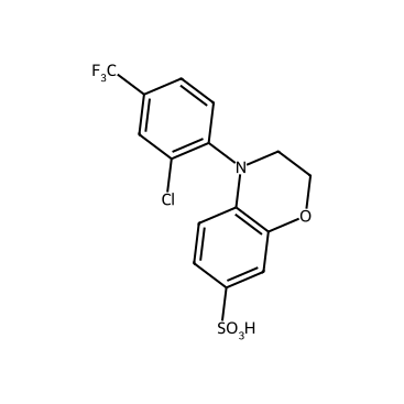 O=S(=O)(O)c1ccc2c(c1)OCCN2c1ccc(C(F)(F)F)cc1Cl